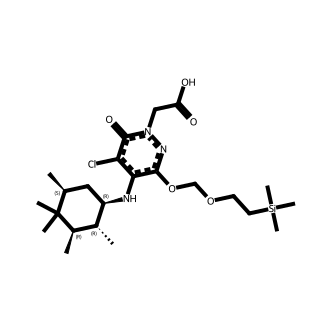 C[C@@H]1[C@@H](C)C(C)(C)[C@@H](C)C[C@H]1Nc1c(OCOCC[Si](C)(C)C)nn(CC(=O)O)c(=O)c1Cl